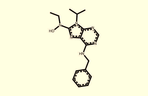 CCN(O)c1nc2c(NCc3ccccc3)ncnc2n1C(C)C